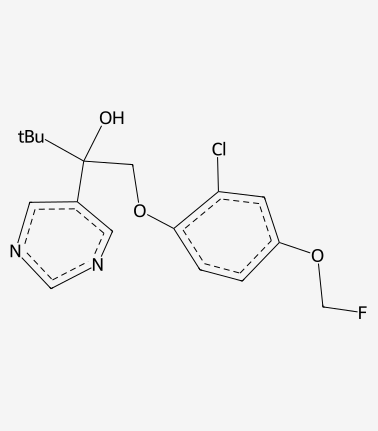 CC(C)(C)C(O)(COc1ccc(OCF)cc1Cl)c1cncnc1